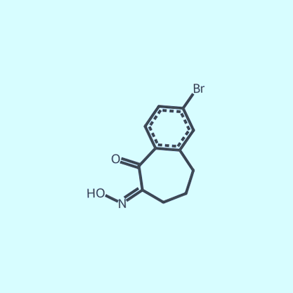 O=C1C(=NO)CCCc2cc(Br)ccc21